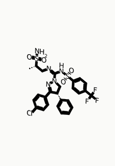 C[C@@H](C/N=C(/NS(=O)(=O)c1ccc(C(F)(F)F)cc1)N1C[C@H](c2ccccc2)C(c2ccc(Cl)cc2)=N1)S(N)(=O)=O